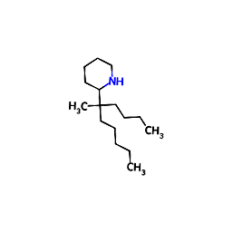 CCCCCC(C)(CCCC)C1CCCCN1